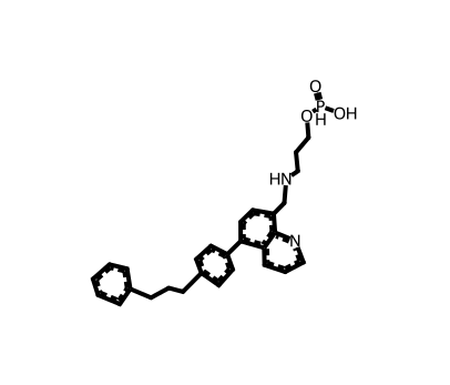 O=[PH](O)OCCCNCc1ccc(-c2ccc(CCCc3ccccc3)cc2)c2cccnc12